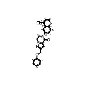 O=C1c2cc(COc3ccccc3)nn2CCN1c1ccc2nccc(Cl)c2c1